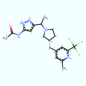 CC(=O)Nc1cc(C(C)N2CC[C@H](Cc3cc(C)nc(C(F)(F)F)c3)C2)n[nH]1